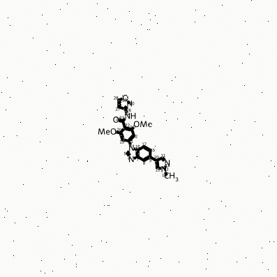 COc1cc(-n2cnc3cc(-c4cnn(C)c4)ccc32)cc(OC)c1C(=O)Nc1ccon1